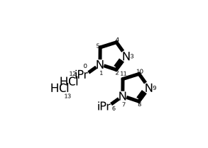 CC(C)N1C=NCC1.CC(C)N1C=NCC1.Cl.Cl